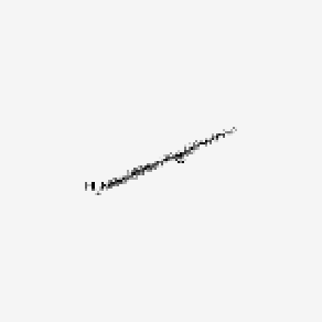 CCCCCCCCC=CCCCCCCCC(=O)CCCCCCCCCCCCCCCCCCCCCCN